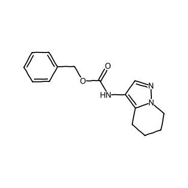 O=C(Nc1cnn2c1CCCC2)OCc1ccccc1